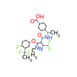 CC(NC(=O)c1c(C(F)F)nn(C)c1Oc1ccc(F)c(C(C)(F)F)c1)c1ccc(C(=O)O)cc1